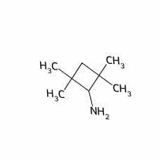 CC1(C)CC(C)(C)C1N